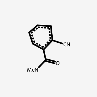 [CH2]NC(=O)c1ccccc1C#N